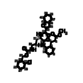 COC(=O)CCc1ccccc1NC(=O)[C@H](CCCNC(=O)OCc1ccccc1Cl)NC(=O)c1cc2ccccc2o1